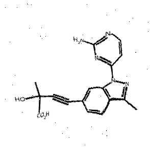 Cc1nn(-c2ccnc(N)n2)c2cc(C#CC(C)(O)C(=O)O)ccc12